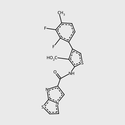 Cc1ccc(-c2csc(NC(=O)c3cn4ccsc4n3)c2C(=O)O)c(F)c1F